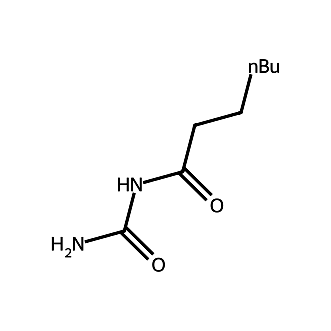 CCCCCCC(=O)NC(N)=O